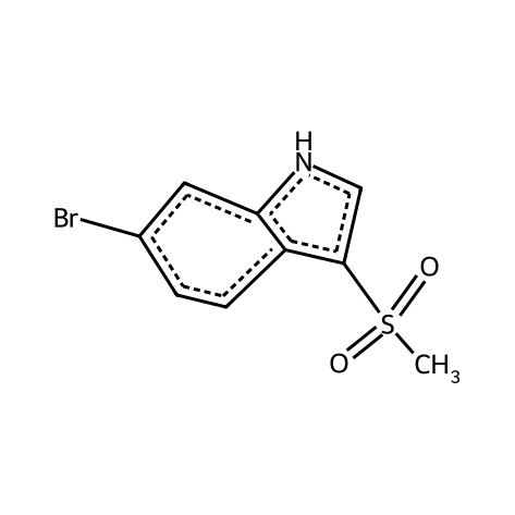 CS(=O)(=O)c1c[nH]c2cc(Br)ccc12